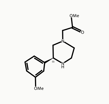 COC(=O)CN1CCN[C@@H](c2cccc(OC)c2)C1